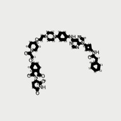 O=C1CC[C@H](N2C(=O)c3ccc(OCC(=O)N4CCC(OCCN5CCN(c6ccc(Nc7ncnc8c7ncn8C7CC(NC(=O)Cc8ccccc8)C7)cc6)CC5)CC4)cc3C2=O)C(=O)N1